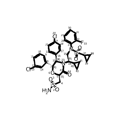 NS(=O)(=O)C[C@H]1O[C@H](c2cccc(Cl)c2)[C@@H](c2ccc(Cl)cc2)N([C@@H](CN(c2ccccc2F)S(=O)(=O)C2CC2)C2CC2)C1=O